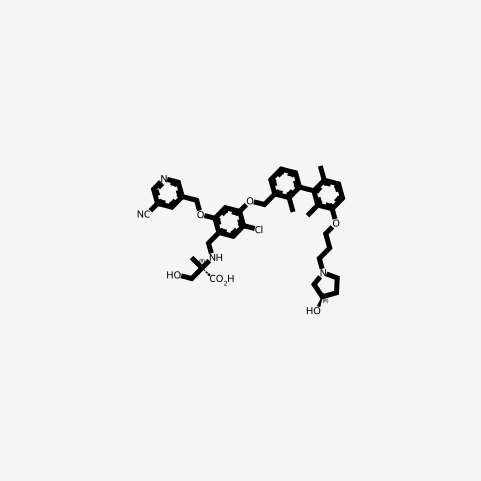 Cc1ccc(OCCCN2CC[C@@H](O)C2)c(C)c1-c1cccc(COc2cc(OCc3cncc(C#N)c3)c(CN[C@](C)(CO)C(=O)O)cc2Cl)c1C